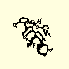 CC(C)OC(O)(O)c1c(-c2c(F)cccc2Cl)noc1-c1cnn(-c2cccc(Cl)c2)c1C(F)(F)F